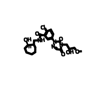 COC[C@H](O)Cn1c(=O)cnn(-c2ccc(Cl)c(C(=O)NCC3CCCCC[C@H]3O)c2)c1=O